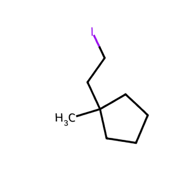 CC1(CCI)CCCC1